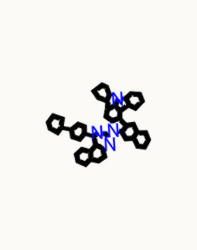 c1ccc(-c2ccc(-c3nc(-n4c5cc6ccccc6cc5c5c6c7ccccc7n7c8ccccc8c(cc54)c67)nc4ccc5ccccc5c34)cc2)cc1